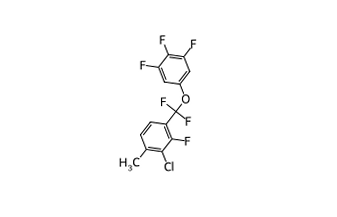 Cc1ccc(C(F)(F)Oc2cc(F)c(F)c(F)c2)c(F)c1Cl